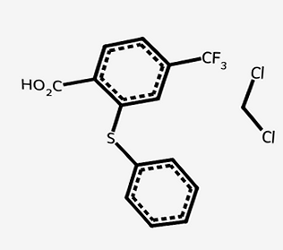 ClCCl.O=C(O)c1ccc(C(F)(F)F)cc1Sc1ccccc1